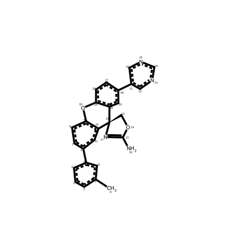 Cc1cccc(-c2ccc3c(c2)[C@]2(COC(N)=N2)c2cc(-c4cncnc4)ccc2O3)c1